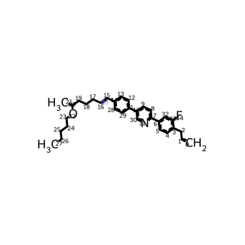 C=CCc1ccc(-c2ccc(-c3ccc(/C=C/CCCC(C)OCCCCC)cc3)cn2)cc1F